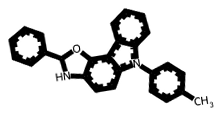 Cc1ccc(-n2c3ccccc3c3c4c(ccc32)NC(c2ccccc2)O4)cc1